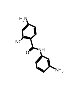 N#Cc1cc(N)ccc1C(=O)Nc1cccc(N)c1